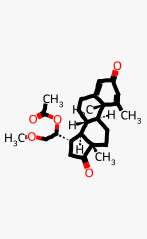 COCC(OC(C)=O)[C@H]1CC(=O)[C@@]2(C)CC[C@H]3[C@@H](CCC4=CC(=O)C=C(C)[C@@]43C)[C@H]12